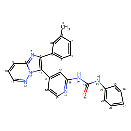 Cc1cccc(-c2nc3cccnn3c2-c2ccnc(NC(=O)Nc3ccccc3)c2)c1